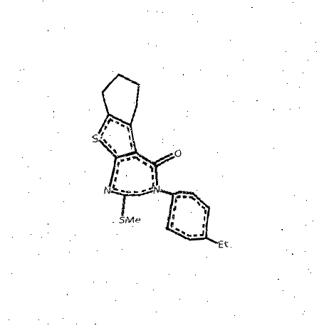 CCc1ccc(-n2c(SC)nc3sc4c(c3c2=O)CCCC4)cc1